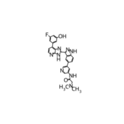 CN(C)CC(=O)Nc1cncc(-c2ccc3[nH]nc(-c4nc5c(-c6cc(O)cc(F)c6)ccnc5[nH]4)c3c2)c1